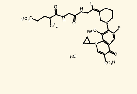 COc1c(N2CCC/C(=C(\F)CNC(=O)CNC(=O)[C@@H](N)CCC(=O)O)C2)c(F)cc2c(=O)c(C(=O)O)cn(C3CC3)c12.Cl